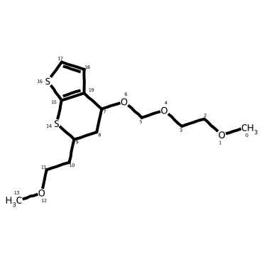 COCCOCOC1CC(CCOC)Sc2sccc21